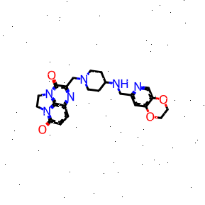 O=c1ccc2nc(CN3CCC(NCc4cc5c(cn4)OCCO5)CC3)c(=O)n3c2n1CC3